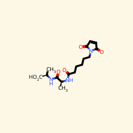 C[C@H](NC(=O)CCCCCN1C(=O)C=CC1=O)C(=O)N[C@H](C)C(=O)O